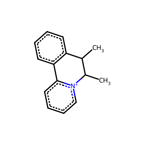 CC1c2ccccc2-c2cccc[n+]2C1C